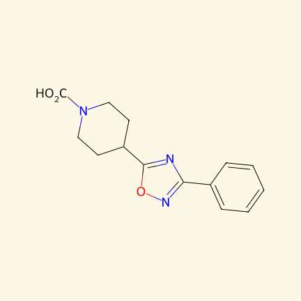 O=C(O)N1CCC(c2nc(-c3ccccc3)no2)CC1